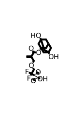 C=C(COCC(F)(F)S(=O)(=O)O)C(=O)OC12CC3CC(O)(CC(O)(C3)C1)C2